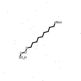 CCCCCCCCCCCCCCCCCCOOOS(=O)(=O)O